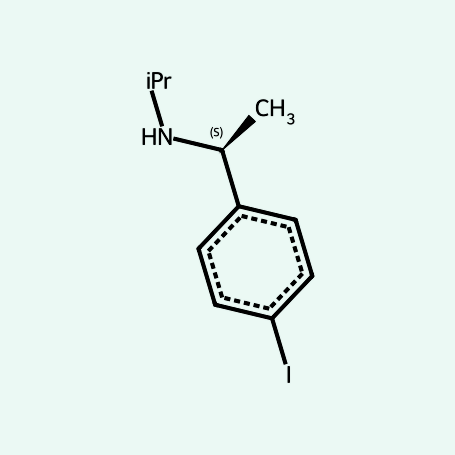 CC(C)N[C@@H](C)c1ccc(I)cc1